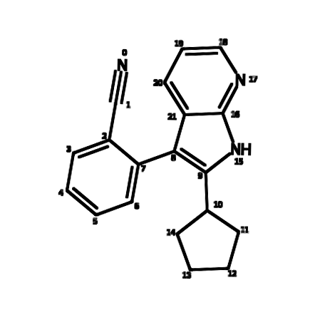 N#Cc1ccccc1-c1c(C2CCCC2)[nH]c2ncccc12